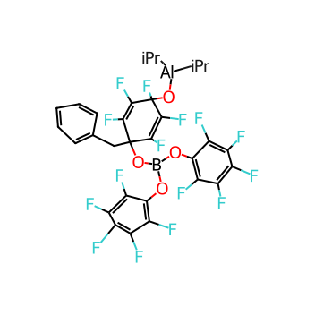 C[CH](C)[Al]([O]C1(F)C(F)=C(F)C(Cc2ccccc2)(OB(Oc2c(F)c(F)c(F)c(F)c2F)Oc2c(F)c(F)c(F)c(F)c2F)C(F)=C1F)[CH](C)C